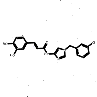 O=C(/C=C/c1ccc(O)c(O)c1)Nc1cn(Cc2cccc(Cl)c2)cn1